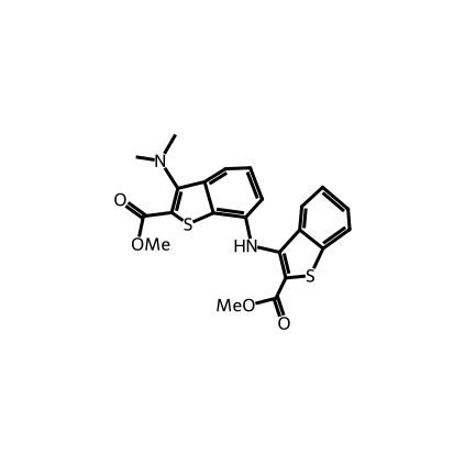 COC(=O)c1sc2ccccc2c1Nc1cccc2c(N(C)C)c(C(=O)OC)sc12